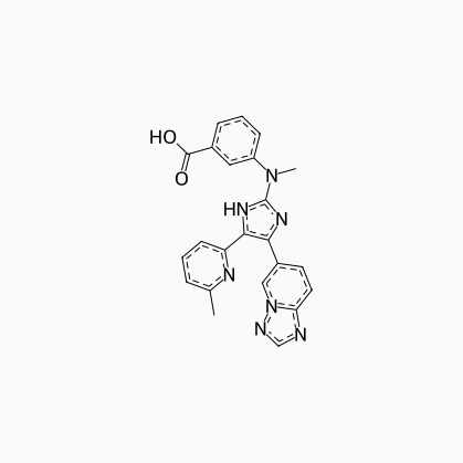 Cc1cccc(-c2[nH]c(N(C)c3cccc(C(=O)O)c3)nc2-c2ccc3ncnn3c2)n1